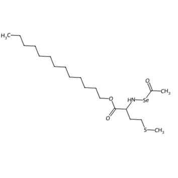 CCCCCCCCCCCCCOC(=O)C(CCSC)N[Se]C(C)=O